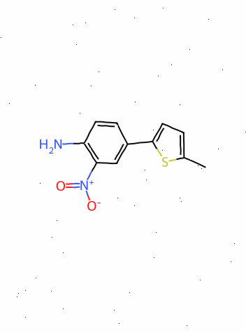 Cc1ccc(-c2ccc(N)c([N+](=O)[O-])c2)s1